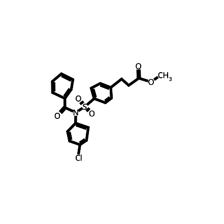 COC(=O)CCc1ccc(S(=O)(=O)N(C(=O)c2ccccc2)c2ccc(Cl)cc2)cc1